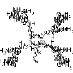 C#CCCCC(=O)NCC1CN(CCCCCNC(=O)CN(CCN)C(=O)Cn2cnc3c(=O)[nH]c(N)nc32)CCN(CCCCCNC(=O)CN(CCN)C(=O)Cn2cnc3c(=O)[nH]c(N)nc32)CCN(CCCCCNC(=O)CN(CCN)C(=O)Cn2cnc3c(=O)[nH]c(N)nc32)CCN1CCCCCNC(=O)CN(CCN)C(=O)Cn1cnc2c(=O)[nH]c(N)cc21